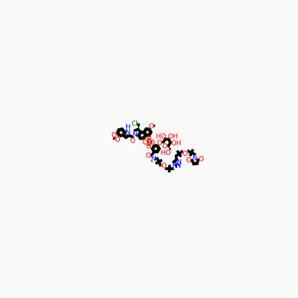 COc1ccc2c(OS(=O)(=O)Oc3cc(C(=O)N(C)CC(C)(C)COCC(C)(C)Cn4cc(CC(C)(C)COCC(C)(C)CN5C(=O)C=CC5=O)nn4)ccc3O[C@@H]3O[C@H](CO)[C@H](O)[C@H](O)[C@H]3O)cc3c(c2c1)[C@H](CCl)CN3C(=O)c1cc2c3c(ccc2[nH]1)OCO3